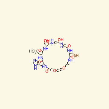 O=C(O)C[C@@H]1NC(=O)[C@H](Cc2cnc[nH]2)NC(=O)COCCOCCNC(=O)[C@H](CS)NC(=O)CNC(O)CNC(=O)[C@H](CO)NC1=O